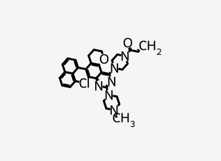 C=CC(=O)N1CCN(c2nc(N3CCN(C)CC3)nc3cc(-c4cccc5cccc(Cl)c45)c4c(c23)OCCC4)CC1